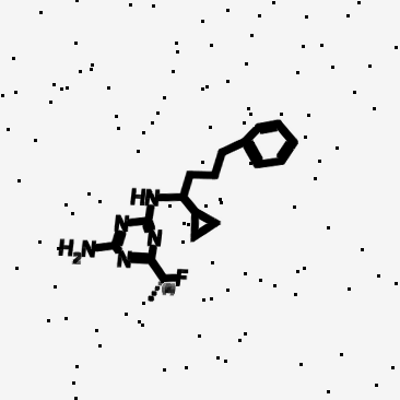 C[C@@H](F)c1nc(N)nc(NC(CCCc2ccccc2)C2CC2)n1